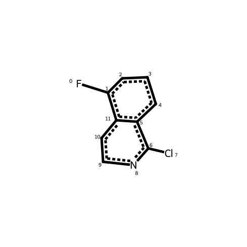 Fc1cccc2c(Cl)nccc12